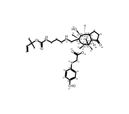 C=CC(C)(C)OC(=O)NCCCNC[C@@]1(C)C[C@@H](OC(=O)CSc2ccc(C=O)cc2)[C@]2(C)[C@H](C)CC[C@]3(CCC(=O)[C@H]32)[C@@H](C)[C@@H]1O